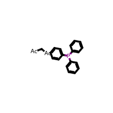 CC(=O)CC(C)=O.c1ccc(P(c2ccccc2)c2ccccc2)cc1